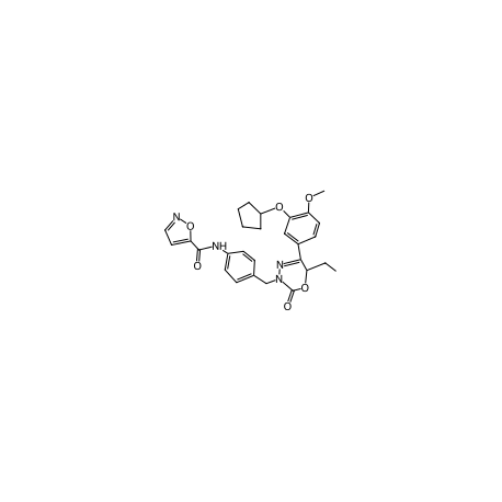 CCC1OC(=O)N(Cc2ccc(NC(=O)c3ccno3)cc2)N=C1c1ccc(OC)c(OC2CCCC2)c1